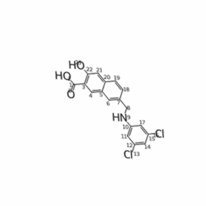 O=C(O)c1cc2cc(CNc3cc(Cl)cc(Cl)c3)ccc2cc1O